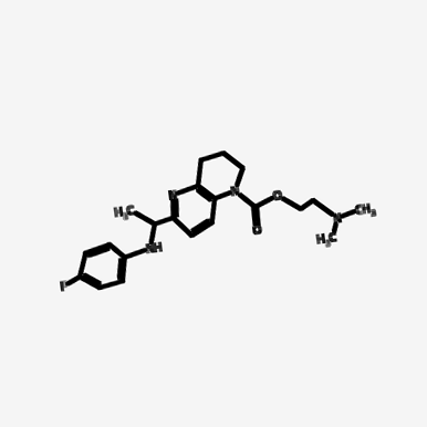 CC(Nc1ccc(F)cc1)c1ccc2c(n1)CCCN2C(=O)OCCN(C)C